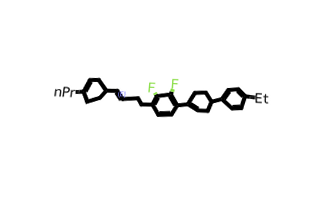 CCCC1=CCC(/C=C/CCc2ccc(C3=CCC(c4ccc(CC)cc4)CC3)c(F)c2F)CC1